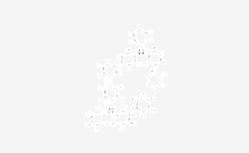 C1=CCCC(c2cccc(N(c3ccccc3)c3ccc(-c4cccc(-c5ccc(N(c6ccccc6)c6cccc(-c7ccccc7)c6)cc5)c4)cc3)c2)=C1